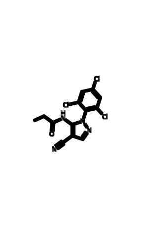 CCC(=O)Nc1c(C#N)cnn1-c1c(Cl)cc(Cl)cc1Cl